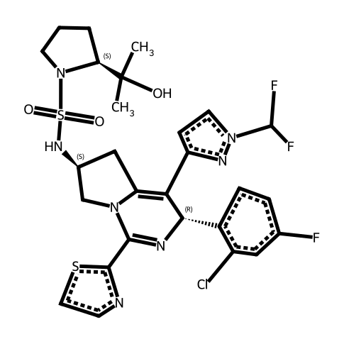 CC(C)(O)[C@@H]1CCCN1S(=O)(=O)N[C@H]1CC2=C(c3ccn(C(F)F)n3)[C@H](c3ccc(F)cc3Cl)N=C(c3nccs3)N2C1